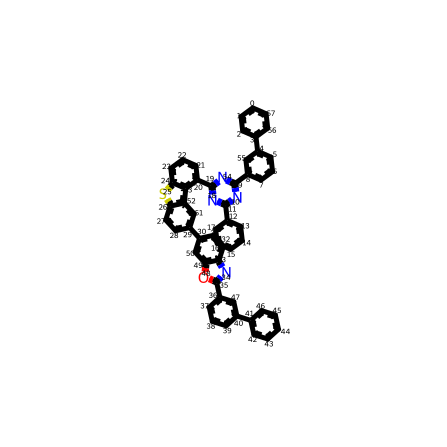 c1ccc(-c2cccc(-c3nc(-c4ccccc4)nc(-c4cccc5sc6ccc(-c7ccc8nc(-c9cccc(-c%10ccccc%10)c9)oc8c7)cc6c45)n3)c2)cc1